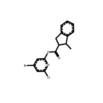 CC1c2ccccc2CC1C(=O)Oc1cc(Br)cc(Cl)n1